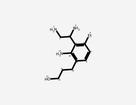 BC(CN)c1c(CC)ccc(CCCO)c1N